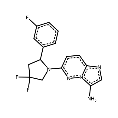 Nc1cnc2ccc(N3CC(F)(F)CC3c3cccc(F)c3)nn12